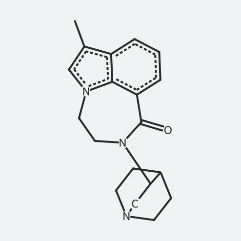 Cc1cn2c3c(cccc13)C(=O)N(C1CN3CCC1CC3)CC2